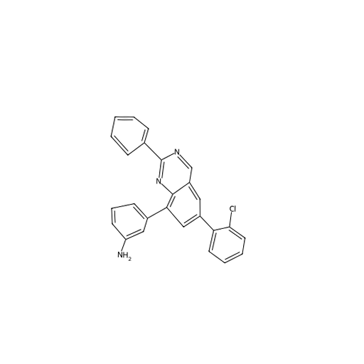 Nc1cccc(-c2cc(-c3ccccc3Cl)cc3cnc(-c4ccccc4)nc23)c1